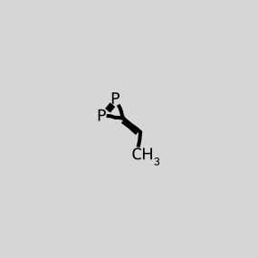 CC=C1P=P1